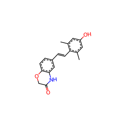 Cc1cc(O)cc(C)c1C=Cc1ccc2c(c1)NC(=O)CO2